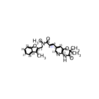 Cc1c(CN(C)C(=O)/C=C/c2cnc3c(c2)OC(C)(C)C(=O)N3)oc2ccccc12